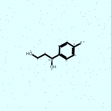 OCC[C@H](O)c1ccc(F)cc1